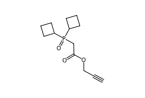 C#CCOC(=O)CP(=O)(C1CCC1)C1CCC1